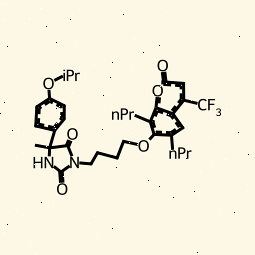 CCCc1cc2c(C(F)(F)F)cc(=O)oc2c(CCC)c1OCCCCN1C(=O)NC(C)(c2ccc(OC(C)C)cc2)C1=O